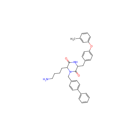 Cc1cccc(Oc2ccc(CC3NC(=O)C(CCCCN)N(Cc4ccc(-c5ccccc5)cc4)C3=O)cc2)c1